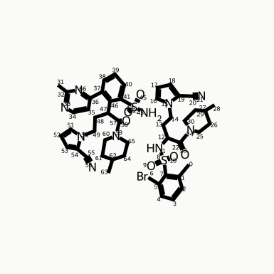 Cc1cccc(Br)c1S(=O)(=O)NC(CCn1cccc1C#N)C(=O)N1CCC(C)CC1.Cc1nccc(-c2cccc(S(N)(=O)=O)c2C(CCn2cccc2C#N)C(=O)N2CCC(C)CC2)n1